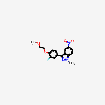 COCCOc1ccc(-c2nn(C)c3ccc([N+](=O)[O-])cc23)cc1F